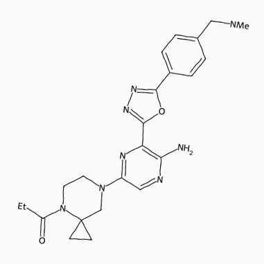 CCC(=O)N1CCN(c2cnc(N)c(-c3nnc(-c4ccc(CNC)cc4)o3)n2)CC12CC2